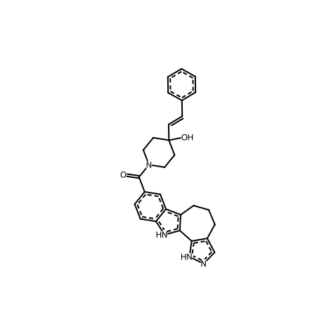 O=C(c1ccc2[nH]c3c(c2c1)CCCc1cn[nH]c1-3)N1CCC(O)(/C=C/c2ccccc2)CC1